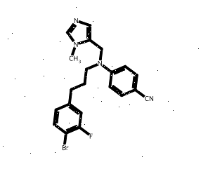 Cn1cncc1CN(CCCc1ccc(Br)c(F)c1)c1ccc(C#N)cc1